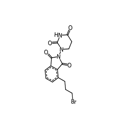 O=C1CCN(N2C(=O)c3cccc(CCCBr)c3C2=O)C(=O)N1